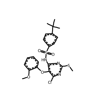 COc1ccccc1Oc1c(Cl)nc(SC)nc1NS(=O)(=O)c1ccc(C(C)(C)C)cc1